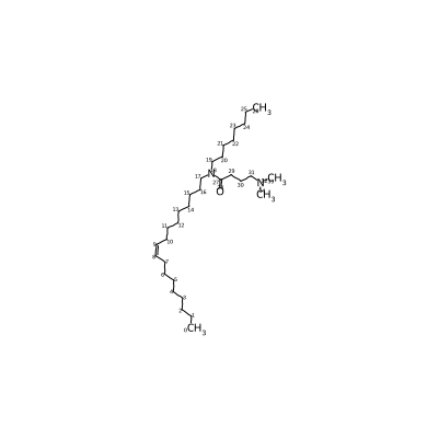 CCCCCCCC/C=C\CCCCCCCCN(CCCCCCCC)C(=O)CCCN(C)C